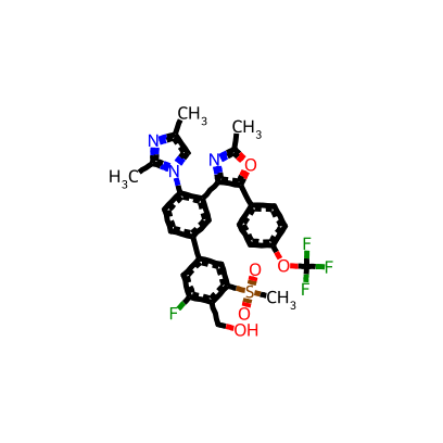 Cc1cn(-c2ccc(-c3cc(F)c(CO)c(S(C)(=O)=O)c3)cc2-c2nc(C)oc2-c2ccc(OC(F)(F)F)cc2)c(C)n1